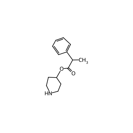 CC(C(=O)OC1CCNCC1)c1ccccc1